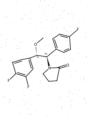 CO[C@@H](c1ccc(F)c(F)c1)[C@@H](c1ccc(F)cc1)N1CCCC1=O